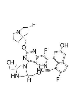 C#Cc1c(F)ccc2cc(O)cc(-c3nc4c5c(nc(OC[C@]67CCCN6C[C@H](F)C7)nc5c3F)N3C[C@@H](CC)NC[C@H]3CO4)c12